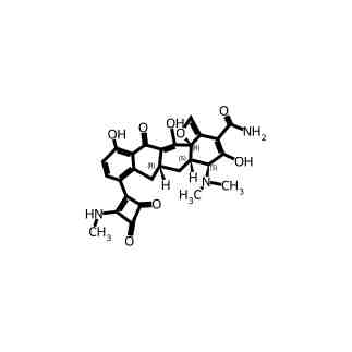 CNc1c(-c2ccc(O)c3c2C[C@H]2C[C@H]4[C@H](N(C)C)C(O)=C(C(N)=O)C5=CO[C@@]54C(O)=C2C3=O)c(=O)c1=O